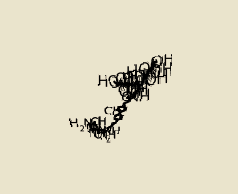 N=C(NCCCCc1ccc(-c2ccc(CCC(=O)NCCN(C[C@H](O)[C@@H](O)[C@H](O)[C@H](O)CO)C[C@H](O)[C@@H](O)[C@H](O)[C@H](O)CO)cc2Cl)cc1)NC(=O)c1nc(Cl)c(N)nc1N